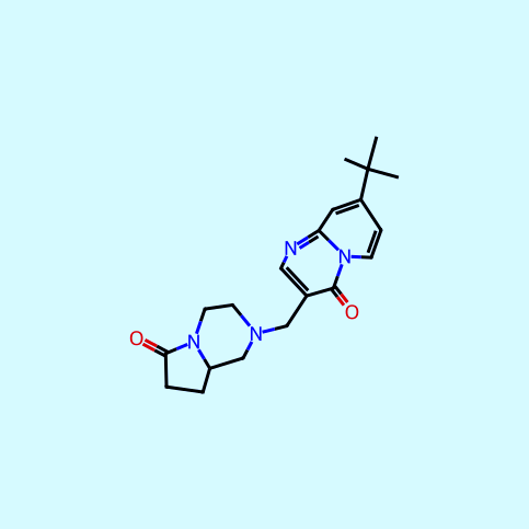 CC(C)(C)c1ccn2c(=O)c(CN3CCN4C(=O)CCC4C3)cnc2c1